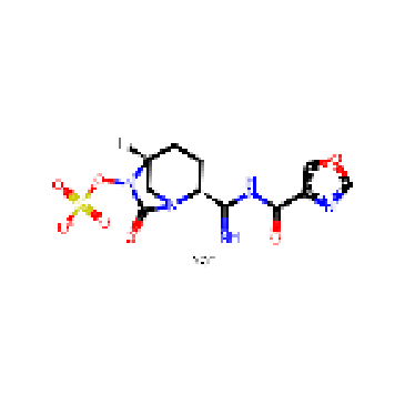 N=C(NC(=O)c1cocn1)[C@@H]1CC[C@@H]2CN1C(=O)N2OS(=O)(=O)[O-].[Na+]